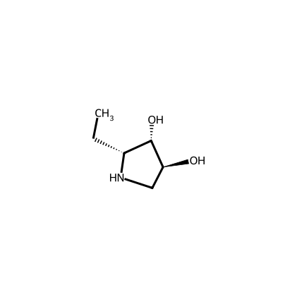 CC[C@H]1NC[C@H](O)[C@H]1O